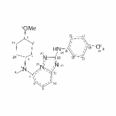 COC1CCC(N(C)c2cccc3nc(Nc4ccc(C(F)(F)F)cc4)nn23)CC1